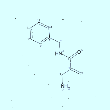 C=C(CN)C(=O)NCc1ccccc1